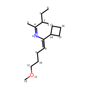 CCC(C)/C(C)=N\C(=C/CCCOC)C1CCC1